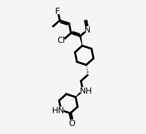 C=N/C(=C(Cl)\C=C(/C)F)[C@H]1CC[C@H](CCN[C@@H]2CCNC(=O)C2)CC1